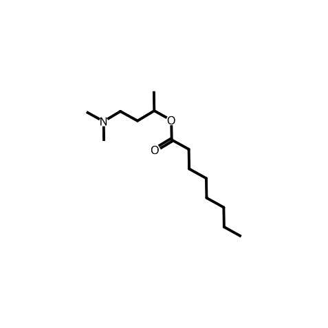 CCCCCCCC(=O)OC(C)CCN(C)C